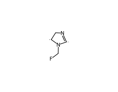 FCN1[C]=NC[CH]1